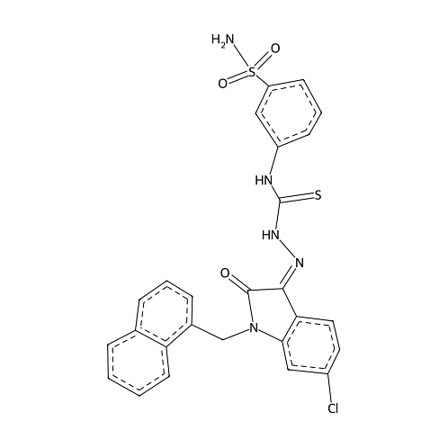 NS(=O)(=O)c1cccc(NC(=S)NN=C2C(=O)N(Cc3cccc4ccccc34)c3cc(Cl)ccc32)c1